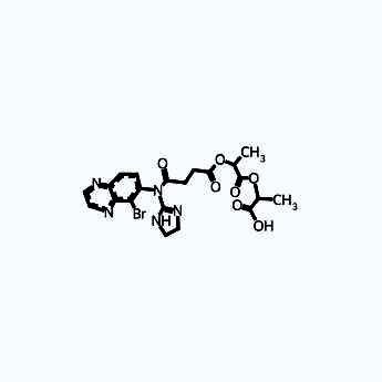 CC(OC(=O)C(C)OC(=O)CCC(=O)N(C1=NCCN1)c1ccc2nccnc2c1Br)C(=O)O